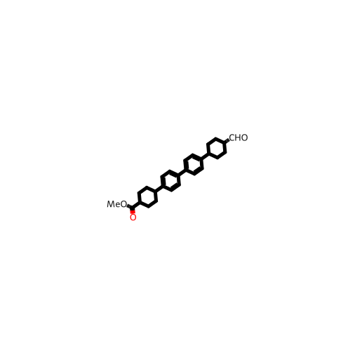 COC(=O)C1CCC(c2ccc(-c3ccc(C4CCC(C=O)CC4)cc3)cc2)CC1